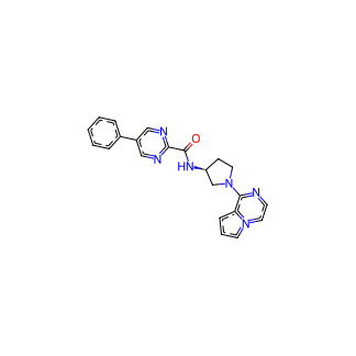 O=C(N[C@H]1CCN(c2nccn3cccc23)C1)c1ncc(-c2ccccc2)cn1